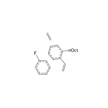 C=C.C=Cc1ccccc1CCCCCCCC.Fc1ccccc1